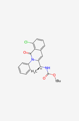 C[C@H](NC(=O)OC(C)(C)C)c1cc2cccc(Cl)c2c(=O)n1-c1ccccc1